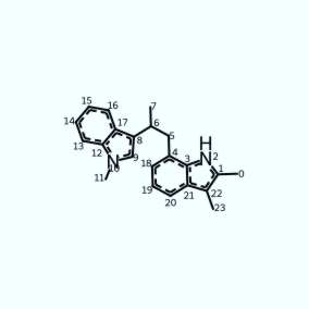 Cc1[nH]c2c(CC(C)c3cn(C)c4ccccc34)cccc2c1C